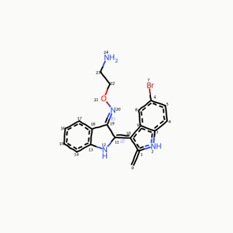 C=c1[nH]c2ccc(Br)cc2/c1=C1/Nc2ccccc2/C1=N\OCCN